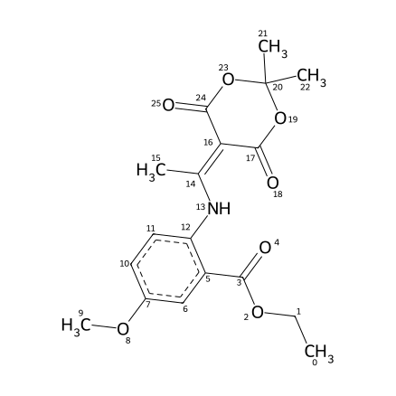 CCOC(=O)c1cc(OC)ccc1NC(C)=C1C(=O)OC(C)(C)OC1=O